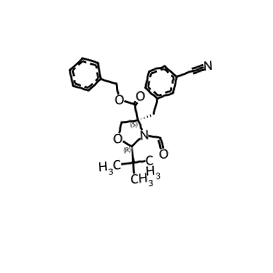 CC(C)(C)[C@H]1OC[C@@](Cc2cccc(C#N)c2)(C(=O)OCc2ccccc2)N1C=O